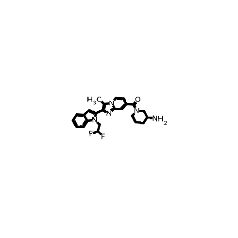 Cc1c(-c2cc3ccccc3n2CC(F)F)nc2cc(C(=O)N3CCCC(N)C3)ccn12